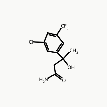 CC(O)(CC(N)=O)c1cc(Cl)cc(C(F)(F)F)c1